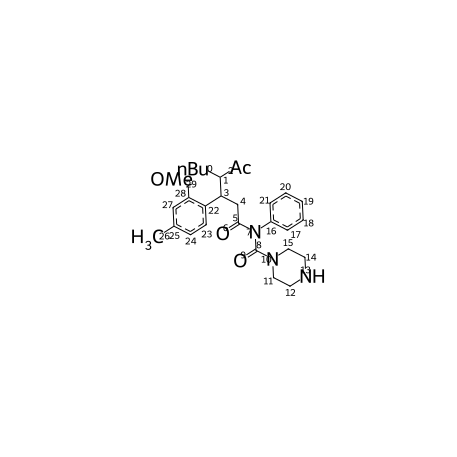 CCCCC(C(C)=O)C(CC(=O)N(C(=O)N1CCNCC1)c1ccccc1)c1ccc(C)cc1OC